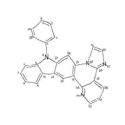 c1ccc(-n2c3ccccc3c3cc4c5ncccc5c5nccn5c4cc32)cc1